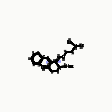 CCCCCCC1CCCC(=C\c2ccccc2OC)/C1=N/OCCN(CC)CC